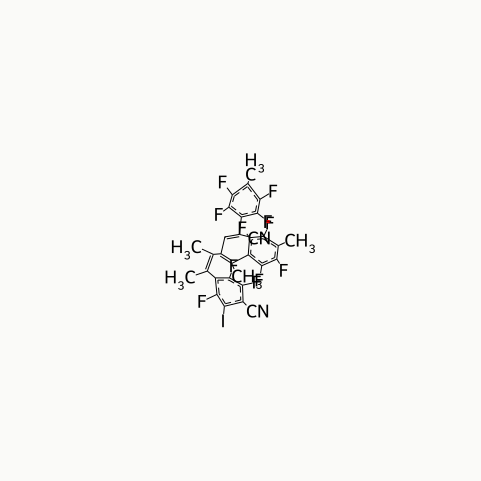 CC(=C(\C)c1c(F)c(F)c(C#N)c(I)c1F)/C(/C=C(\C#N)c1c(F)c(F)c(C)c(F)c1F)=C(\C)c1c(F)c(F)c(C)c(F)c1F